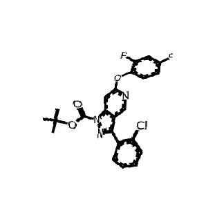 CC(C)(C)OC(=O)n1nc(-c2ccccc2Cl)c2cnc(Oc3ccc(F)cc3F)cc21